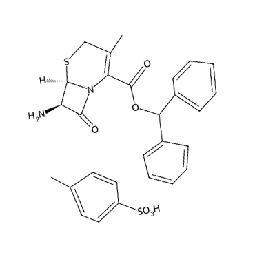 CC1=C(C(=O)OC(c2ccccc2)c2ccccc2)N2C(=O)[C@@H](N)[C@H]2SC1.Cc1ccc(S(=O)(=O)O)cc1